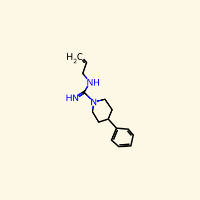 C=CCNC(=N)N1CCC(c2ccccc2)CC1